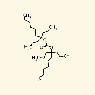 CCCCCCC(CCC)(CCC)OC(=O)OC(CCC)(CCC)CCCCCC